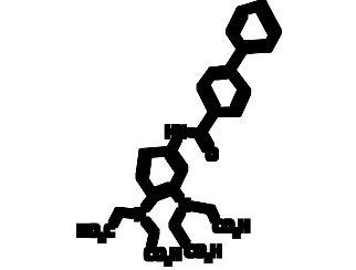 O=C(O)CN(CC(=O)O)c1ccc(NC(=O)c2ccc(-c3ccccc3)cc2)cc1N(CC(=O)O)CC(=O)O